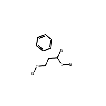 CCOCCC(CC)OCC.c1ccccc1